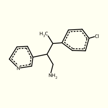 CC(c1ccc(Cl)cc1)C(CN)c1cccnc1